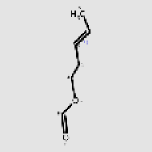 C/C=C/CCO[C]=O